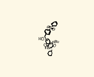 CCCCN1C(=O)[C@H](CC2CCCCC2)NC(=O)C12CCN(Cc1ccc(S(=O)(=O)c3ccccc3)cc1)CC2.Cl